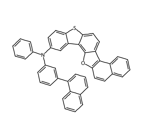 c1ccc(N(c2cccc(-c3cccc4ccccc34)c2)c2ccc3sc4ccc5c(oc6ccc7ccccc7c65)c4c3c2)cc1